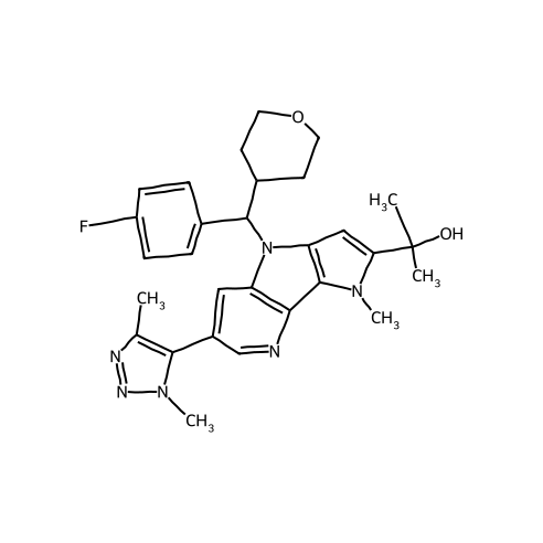 Cc1nnn(C)c1-c1cnc2c3c(cc(C(C)(C)O)n3C)n(C(c3ccc(F)cc3)C3CCOCC3)c2c1